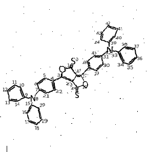 S=C1OC(c2ccc(N(c3ccccc3)c3ccccc3)cc2)=C2C(=S)OC(c3ccc(N(c4ccccc4)c4ccccc4)cc3)=C12